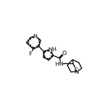 O=C(NC1CN2CCC1CC2)c1ccc(-c2cnccc2F)[nH]1